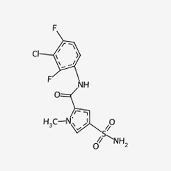 Cn1cc(S(N)(=O)=O)cc1C(=O)Nc1ccc(F)c(Cl)c1F